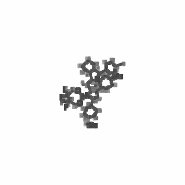 C/C(=C1/N=C(c2ccc(C)cc2)c2ccccc21)c1c(-c2ccc(C(C)(C)C)cc2)cc(-c2ccc(C(C)(C)C)cc2)n1B1OCC(F)(F)C(F)(F)CO1